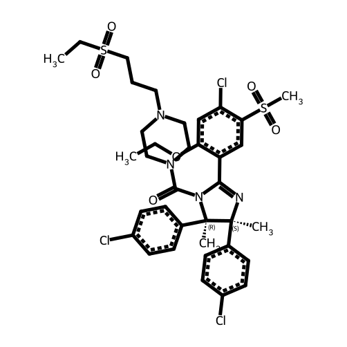 CCOc1cc(Cl)c(S(C)(=O)=O)cc1C1=N[C@@](C)(c2ccc(Cl)cc2)[C@@](C)(c2ccc(Cl)cc2)N1C(=O)N1CCN(CCCS(=O)(=O)CC)CC1